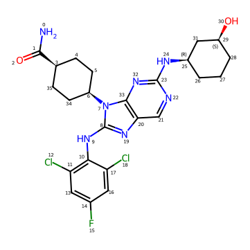 NC(=O)[C@H]1CC[C@@H](n2c(Nc3c(Cl)cc(F)cc3Cl)nc3cnc(N[C@@H]4CCC[C@H](O)C4)nc32)CC1